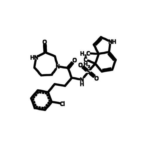 CC12C=CNC1=CC=CC2(C)S(=O)(=O)NC(CCc1ccccc1Cl)C(=O)N1CCCNC(=O)C1